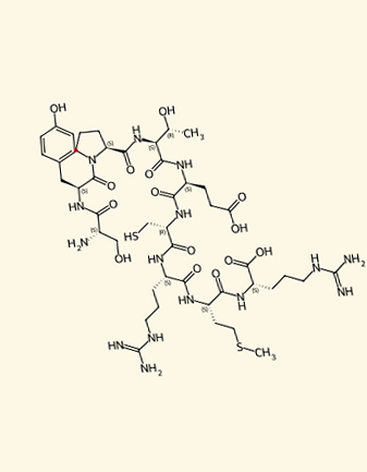 CSCC[C@H](NC(=O)[C@H](CCCNC(=N)N)NC(=O)[C@H](CS)NC(=O)[C@H](CCC(=O)O)NC(=O)[C@@H](NC(=O)[C@@H]1CCCN1C(=O)[C@H](Cc1ccc(O)cc1)NC(=O)[C@@H](N)CO)[C@@H](C)O)C(=O)N[C@@H](CCCNC(=N)N)C(=O)O